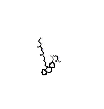 CC(C)ONC(=O)/C=C/CNCCCCN1c2ccccc2CCc2ccc(Cl)cc21.O=C(O)/C=C\C(=O)O